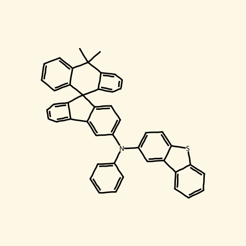 CC1(C)c2ccccc2C2(c3ccccc3-c3cc(N(c4ccccc4)c4ccc5sc6ccccc6c5c4)ccc32)c2ccccc21